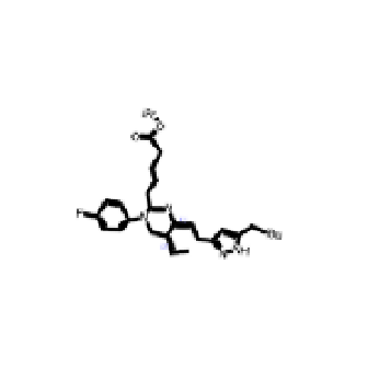 C/C=C1/CN(c2ccc(F)cc2)C(CCCCC(=O)OC(C)C)=N/C1=C/Cc1cc(CC(C)CC)[nH]n1